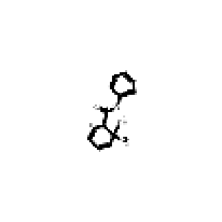 O=C(Oc1ccccc1)C1C=CC=CC1(O)O